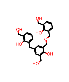 OCc1cccc(COCc2cc(Cc3cccc(CO)c3O)cc(CO)c2O)c1O